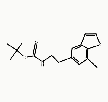 Cc1cc(CCNC(=O)OC(C)(C)C)cc2ccsc12